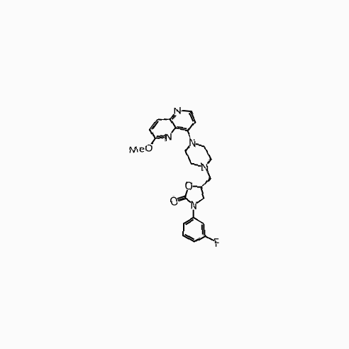 COc1ccc2nccc(N3CCN(C[C@H]4CN(c5cccc(F)c5)C(=O)O4)CC3)c2n1